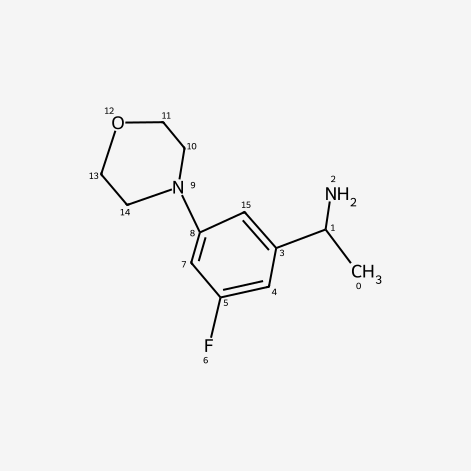 CC(N)c1cc(F)cc(N2CCOCC2)c1